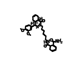 COc1ccc(C2=NN(CCCCCCNC(=O)c3ccccc3C(N)=O)C(=O)[C@@H]3CC=CC[C@H]23)cc1OC